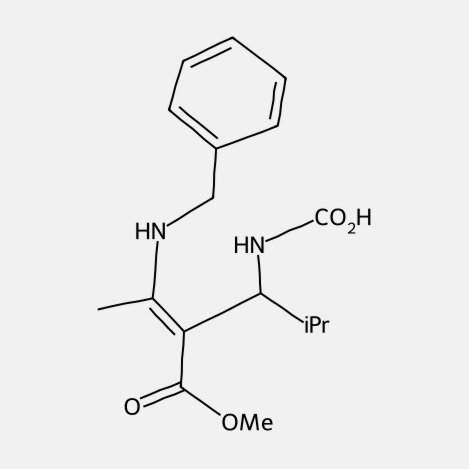 COC(=O)C(=C(C)NCc1ccccc1)C(NC(=O)O)C(C)C